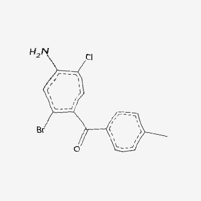 Cc1ccc(C(=O)c2cc(Cl)c(N)cc2Br)cc1